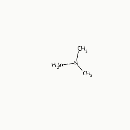 C[N](C)[InH2]